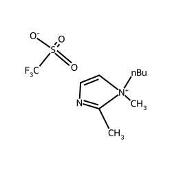 CCCC[N+]1(C)C=CN=C1C.O=S(=O)([O-])C(F)(F)F